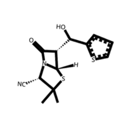 CC1(C)S[C@H]2[C@@H](C(O)c3cccs3)C(=O)N2[C@H]1C#N